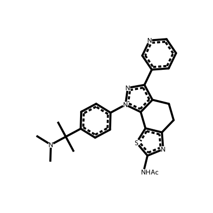 CC(=O)Nc1nc2c(s1)-c1c(c(-c3cccnc3)nn1-c1ccc(C(C)(C)N(C)C)cc1)CC2